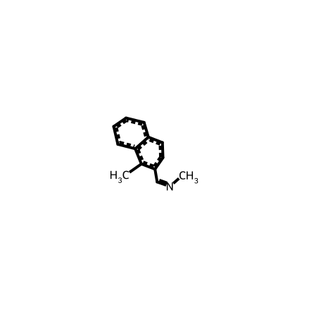 C/N=C\c1ccc2ccccc2c1C